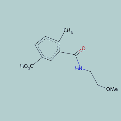 COCCNC(=O)c1cc(C(=O)O)ccc1C